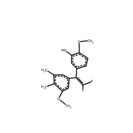 COc1ccc(C(=C(F)F)c2cc(C)c(C)c(OC)c2)cc1O